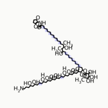 CC(/C=C/C=C/C=C/C=C/C=C/C=C/C(=O)NC1=C(O)CCC1=O)C(O)C(C)C(O)/C=C/C=C/C=C/C=C/C=C/CC(OC1OC(C)C(O)C(O)C1O)C(C)C(=O)CC(O)CC(O)CC(O)/C=C/CC(O)CC(O)CC(O)CC(O)/C=C/CC(O)CC(O)CCCN